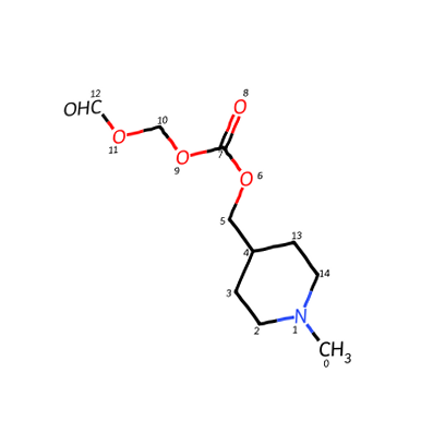 CN1CCC(COC(=O)OCOC=O)CC1